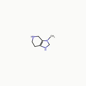 CN1CNC2=C1CNCC2